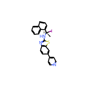 C[C@@](I)(Nc1nc2ccc(-c3ccncc3)cc2s1)c1cccc2ccccc12